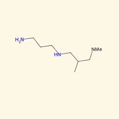 CNCC(C)CNCCCN